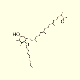 CCCCCCCCOC1=C(C)C(C)C(O)C=C1CCC(C)CC/C=C(\C)CCC/C(C)=C/CCC(C)C(C)=O